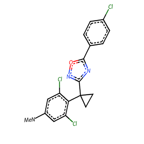 CNc1cc(Cl)c(C2(c3noc(-c4ccc(Cl)cc4)n3)CC2)c(Cl)c1